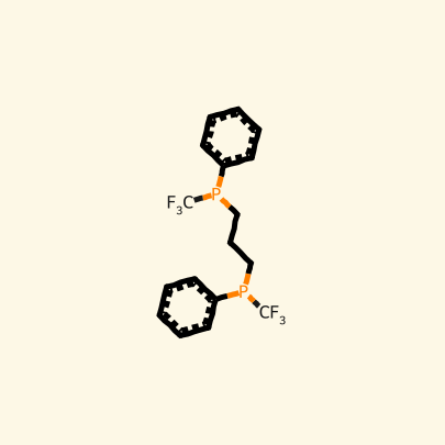 FC(F)(F)P(CCCP(c1ccccc1)C(F)(F)F)c1ccccc1